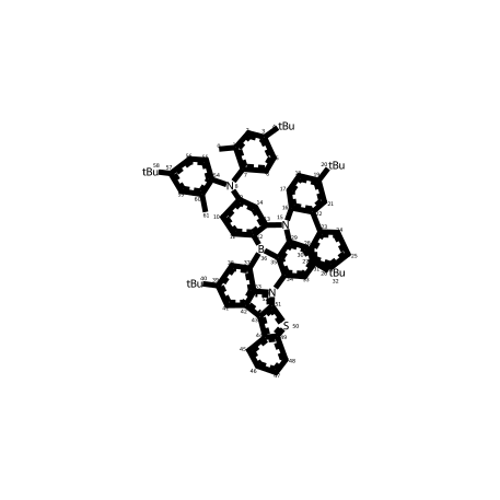 Cc1cc(C(C)(C)C)ccc1N(c1ccc2c(c1)N(c1ccc(C(C)(C)C)cc1-c1ccccc1)c1cc(C(C)(C)C)cc3c1B2c1cc(C(C)(C)C)cc2c4c5ccccc5sc4n-3c12)c1ccc(C(C)(C)C)cc1C